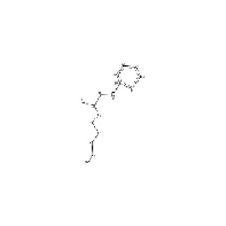 CCCCCCC(C)COc1ccccc1